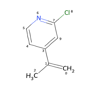 C=C(C)c1ccnc(Cl)c1